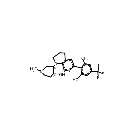 Cc1cc(C(F)(F)F)cc(O)c1-c1cc2c(nn1)N([C@H]1CN(C)CC[C@H]1O)CCC2